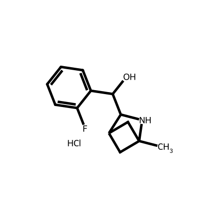 CC12CC(C1)C(C(O)c1ccccc1F)N2.Cl